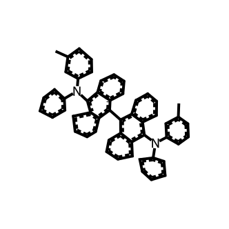 Cc1cccc(N(c2ccccc2)c2c3ccccc3c(-c3c4ccccc4c(N(c4ccccc4)c4cccc(C)c4)c4ccccc34)c3ccccc23)c1